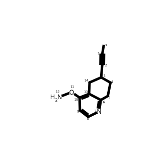 CC#CC1CCc2nccc(ON)c2C1